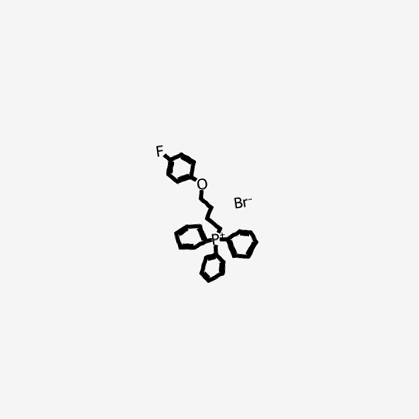 Fc1ccc(OCCCC[P+](c2ccccc2)(c2ccccc2)c2ccccc2)cc1.[Br-]